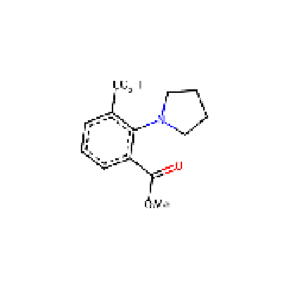 COC(=O)c1cccc(C(=O)O)c1N1CCCC1